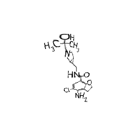 CC(C)(O)CN1CC2C(CNC(=O)c3cc(Cl)c(N)c4c3OCC4)C2C1